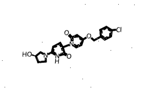 O=c1[nH]c(N2CC[C@@H](O)C2)ccc1-n1ccc(OCc2ccc(Cl)cc2)cc1=O